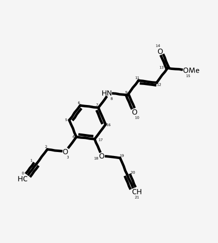 C#CCOc1ccc(NC(=O)/C=C/C(=O)OC)cc1OCC#C